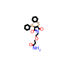 NC(=O)CCOCCN1C(=O)C(Sc2ccccc2)=C(Sc2ccccc2)C1=O